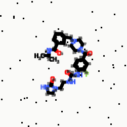 CC(C)=NC(=O)c1cccc(CN2CCN(C(=O)c3ccc(NC(=O)NCCN4CCNC4=O)c(F)c3)CC2)c1